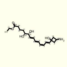 NC1CC(O)(/C=C/C=C\C=C\C=C\[C@@H](O)[C@@H](O)CCCC(=O)OCI)C1